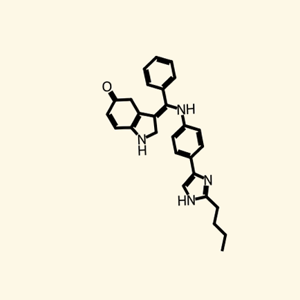 CCCCc1nc(-c2ccc(N/C(=C3\CNC4=C3CC(=O)C=C4)c3ccccc3)cc2)c[nH]1